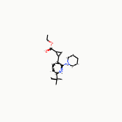 CCOC(=O)C1CC1c1ccc(C(C)(C)C)nc1N1CCCCC1